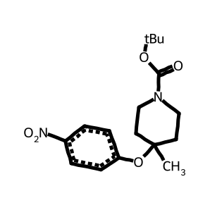 CC(C)(C)OC(=O)N1CCC(C)(Oc2ccc([N+](=O)[O-])cc2)CC1